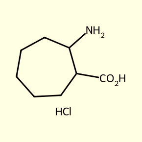 Cl.NC1CCCCCC1C(=O)O